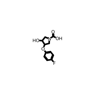 O=C(O)N1CC(O)C(Oc2ccc(F)cc2)C1